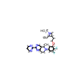 CC1c2cnc(-c3ncccn3)nc2CCN1c1cc(F)c(F)c(OCCC2CN(C(=O)O)C2C(C)(C)C)c1